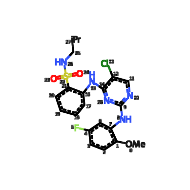 COc1ccc(F)cc1Nc1ncc(Cl)c(Nc2ccccc2S(=O)(=O)NCC(C)C)n1